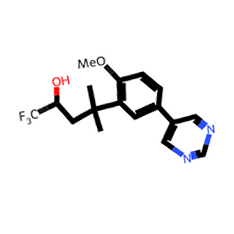 COc1ccc(-c2cncnc2)cc1C(C)(C)CC(O)C(F)(F)F